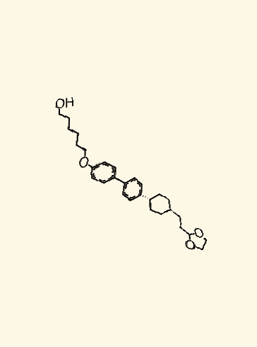 OCCCCCCOc1ccc(-c2ccc([C@H]3CC[C@H](CCC4OCCO4)CC3)cc2)cc1